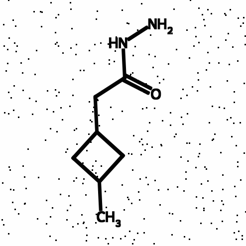 CC1CC(CC(=O)NN)C1